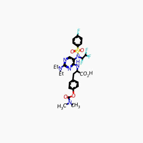 CCN(CC)c1ncc(N(C(F)C(F)F)S(=O)(=O)c2ccc(F)cc2)c(NC(Cc2ccc(OC(=O)N(C)C)cc2)C(=O)O)n1